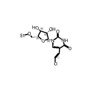 CCOC[C@H]1O[C@@H](n2cc(/C=C/Cl)c(=O)[nH]c2=O)[C@@H](O)[C@@H]1O